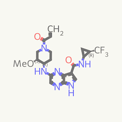 C=CC(=O)N1CC[C@@H](Nc2cnc3[nH]cc(C(=O)NC4C[C@H]4C(F)(F)F)c3n2)[C@@H](OC)C1